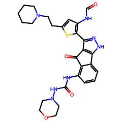 O=CNc1cc(CCN2CCCCC2)sc1-c1n[nH]c2c1C(=O)c1c(NC(=O)NN3CCOCC3)cccc1-2